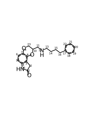 O=C1Cc2c(ccc3c2OC(CNCCCCc2ccccc2)CO3)N1